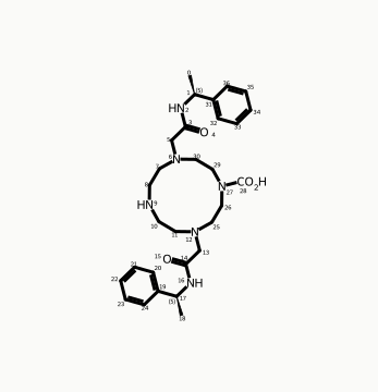 C[C@H](NC(=O)CN1CCNCCN(CC(=O)N[C@@H](C)c2ccccc2)CCN(C(=O)O)CC1)c1ccccc1